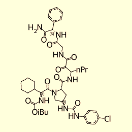 CCCC(NC(=O)C1C[C@@H](NC(=O)Nc2ccc(Cl)cc2)CN1C(=O)[C@@H](NC(=O)OCC(C)C)C1CCCCC1)C(=O)C(=O)NCC(=O)N[C@H](C(N)=O)c1ccccc1